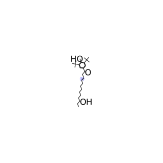 CCC(O)CCCCCC/C=C/CC(=O)c1cc(C(C)(C)C)c(O)c(C(C)(C)C)c1